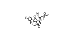 C=CC(=O)N1CCN(c2nc(=O)n3c4c(c(-c5ccc(F)cc5F)c(Cl)cc24)SCC3)[C@@H](CC#N)C1